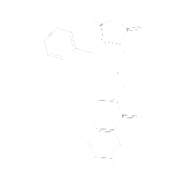 O=C1SC(=O)N(Cc2ccccc2)C1OCCN1CSc2ccc(Cl)cc2C1=O